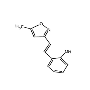 Cc1cc(C=Cc2ccccc2O)no1